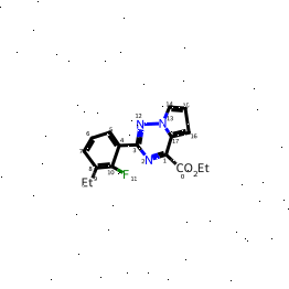 CCOC(=O)c1nc(-c2cccc(CC)c2F)nn2cccc12